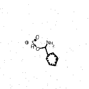 NC(O[SH](=O)=O)c1cc[c]cc1